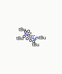 C=C/C=C1\C(=C/CN(C(=C)/C=C\C(=C)C(C)(C)C)c2ccc(C(C)(C)C)cc2)C(c2ccccc2)(c2ccccc2)c2cc(N(c3ccc(C(C)(C)C)cc3)c3ccc(C(C)(C)C)cc3)c3c(c21)C(C)(C)c1ccccc1-3